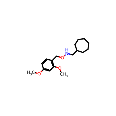 COc1ccc(CONCC2CCCCCC2)c(OC)c1